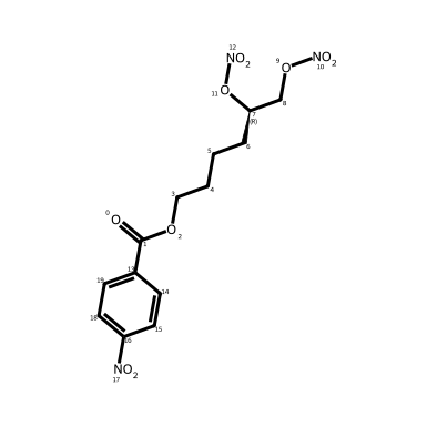 O=C(OCCCC[C@H](CO[N+](=O)[O-])O[N+](=O)[O-])c1ccc([N+](=O)[O-])cc1